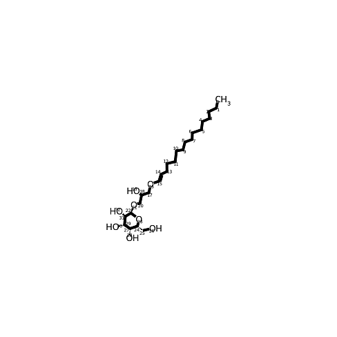 CCCCCCCCCCCCCCC=COCC(O)CO[C@H]1O[C@H](CO)[C@H](O)[C@H](O)[C@H]1O